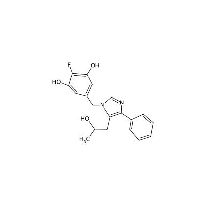 CC(O)Cc1c(-c2ccccc2)ncn1Cc1cc(O)c(F)c(O)c1